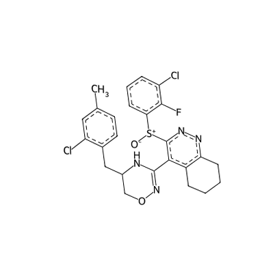 Cc1ccc(CC2CON=C(c3c([S+]([O-])c4cccc(Cl)c4F)nnc4c3CCCC4)N2)c(Cl)c1